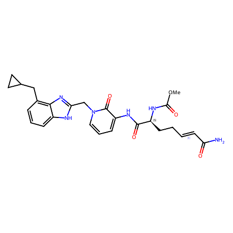 COC(=O)N[C@@H](CC/C=C/C(N)=O)C(=O)Nc1cccn(Cc2nc3c(CC4CC4)cccc3[nH]2)c1=O